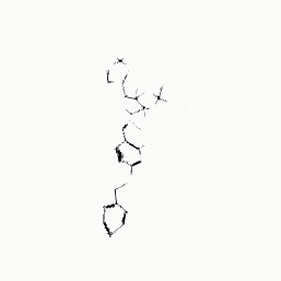 CC1(C)O[C@H]2[C@@H]([C@H]3COC(C)(C)O3)O[C@H]([N+]([O-])=Cc3ccc(OCc4ccccc4)cc3O)[C@H]2O1